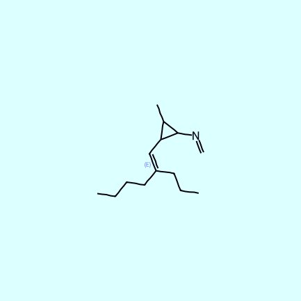 C=NC1C(C)C1/C=C(\CCC)CCCC